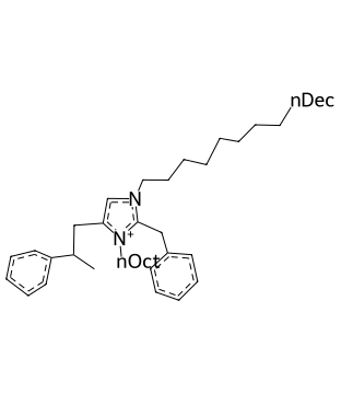 CCCCCCCCCCCCCCCCCCn1cc(CC(C)c2ccccc2)[n+](CCCCCCCC)c1Cc1ccccc1